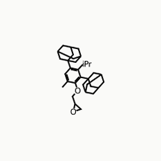 Cc1cc(C23CC4CC(CC(C4)C2)C3)c(C(C)C)c(C23CC4CC(CC(C4)C2)C3)c1OCC1CO1